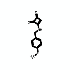 COc1ccc(CNc2cc(=O)c2=O)cc1